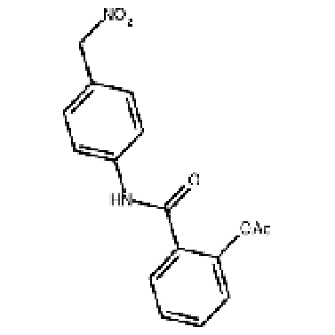 CC(=O)Oc1ccccc1C(=O)Nc1ccc(C[N+](=O)[O-])cc1